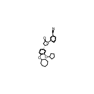 N#Cc1cccc(N2C[C@H](c3ccc(OC4CCCCCC4)c(OC4CCCC4)c3)CC2=O)c1